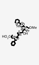 CC[C@@H](C)[C@H](NC(=O)C1CCCCN1C)C(=O)N(CCOC)[C@H](C[C@@H](O)c1nc(C(=O)N[C@H](C[C@H](C)C(=O)O)C(C)c2ccccc2)cs1)C(C)C